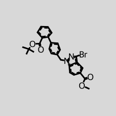 COC(=O)c1ccc2c(c1)c(Br)nn2Cc1ccc(-c2ccccc2C(=O)OC(C)(C)C)cc1